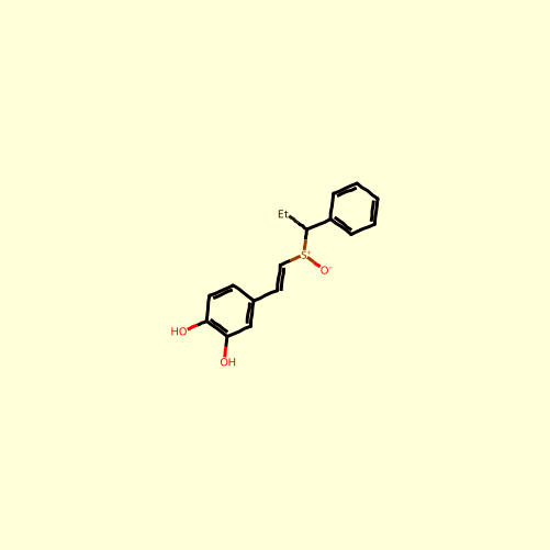 CCC(c1ccccc1)[S+]([O-])C=Cc1ccc(O)c(O)c1